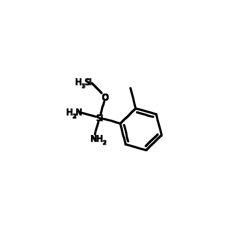 Cc1ccccc1[Si](N)(N)O[SiH3]